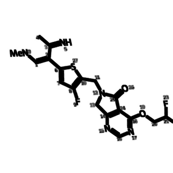 CN/C=C(\C(C)=N)c1cc(F)c(CN2Cc3ncnc(OCC(F)F)c3C2=O)s1